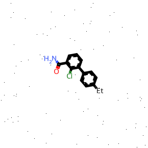 CCc1ccc(-c2cccc(C(N)=O)c2Cl)cc1